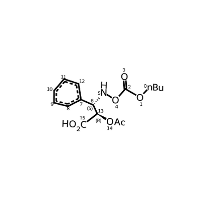 CCCCOC(=O)ON[C@@H](c1ccccc1)[C@@H](OC(C)=O)C(=O)O